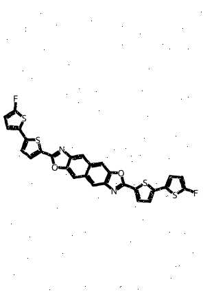 Fc1ccc(-c2ccc(-c3nc4cc5cc6oc(-c7ccc(-c8ccc(F)s8)s7)nc6cc5cc4o3)s2)s1